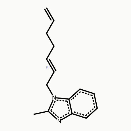 C=CCC/C=C/Cn1c(C)nc2ccccc21